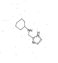 c1c[nH]c(CNC2CCCCC2)n1